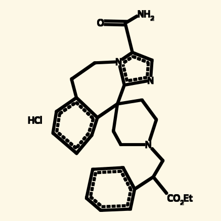 CCOC(=O)C(CN1CCC2(CC1)c1ccccc1CCn1c(C(N)=O)cnc12)c1ccccc1.Cl